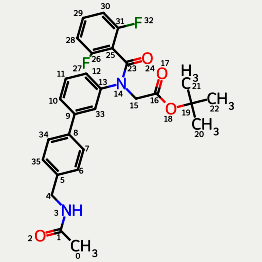 CC(=O)NCc1ccc(-c2cccc(N(CC(=O)OC(C)(C)C)C(=O)c3c(F)cccc3F)c2)cc1